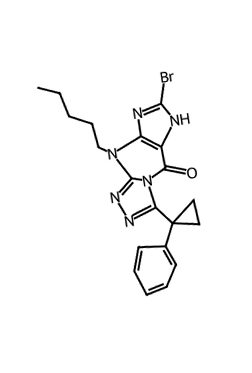 CCCCCn1c2nc(Br)[nH]c2c(=O)n2c(C3(c4ccccc4)CC3)nnc12